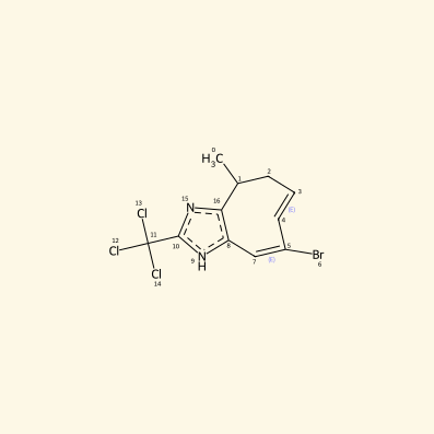 CC1C/C=C/C(Br)=C\c2[nH]c(C(Cl)(Cl)Cl)nc21